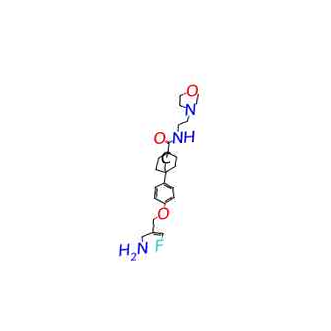 NCC(=CF)COc1ccc(C23CCC(C(=O)NCCN4CCOCC4)(CC2)CC3)cc1